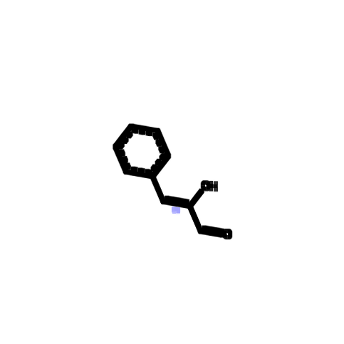 O=C/C(O)=C/c1ccccc1